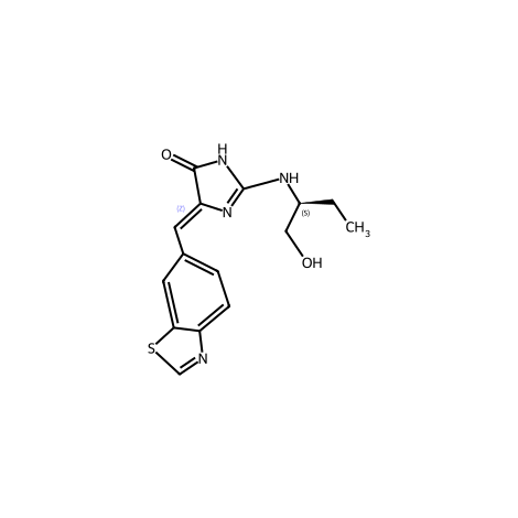 CC[C@@H](CO)NC1=N/C(=C\c2ccc3ncsc3c2)C(=O)N1